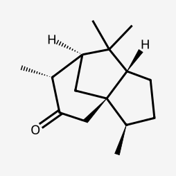 C[C@@H]1CC[C@H]2C(C)(C)[C@H]3C[C@@]12CC(=O)[C@@H]3C